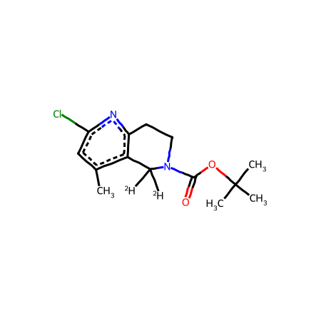 [2H]C1([2H])c2c(C)cc(Cl)nc2CCN1C(=O)OC(C)(C)C